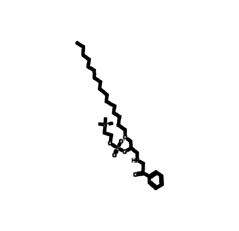 CCCCCCCCCCCCCCCCOCC(CNCC(=O)c1ccccc1)OP(=O)([O-])OCC[N+](C)(C)C